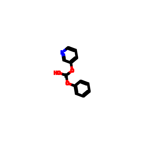 OB(Oc1ccccc1)Oc1cccnc1